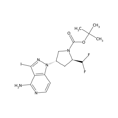 CC(C)(C)OC(=O)N1C[C@@H](n2nc(I)c3c(N)nccc32)C[C@@H]1C(F)F